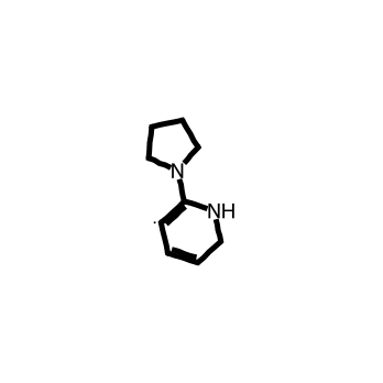 [C]1=C(N2CCCC2)NCC=C1